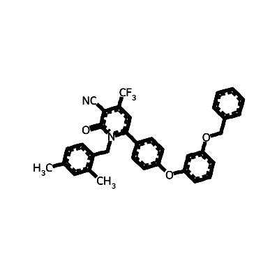 Cc1ccc(Cn2c(-c3ccc(Oc4cccc(OCc5ccccc5)c4)cc3)cc(C(F)(F)F)c(C#N)c2=O)c(C)c1